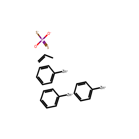 C=CC.[O-]P([O-])(=S)[S-].[Zn+][c]1ccccc1.[Zn+][c]1ccccc1.[Zn+][c]1ccccc1